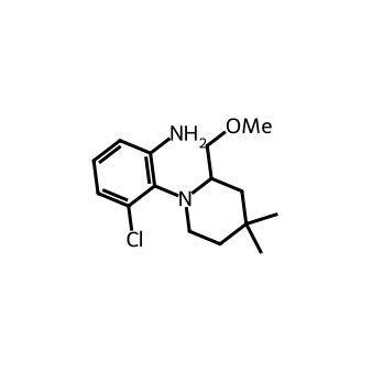 COCC1CC(C)(C)CCN1c1c(N)cccc1Cl